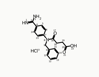 Cl.N=C(N)c1ccc(N(Cc2ccccc2)C(=O)CCC(=O)O)cc1